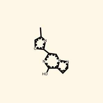 Cc1coc(-c2cn3nccc3c(O)n2)n1